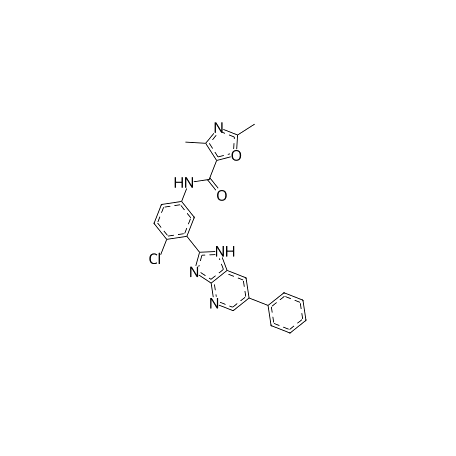 Cc1nc(C)c(C(=O)Nc2ccc(Cl)c(-c3nc4ncc(-c5ccccc5)cc4[nH]3)c2)o1